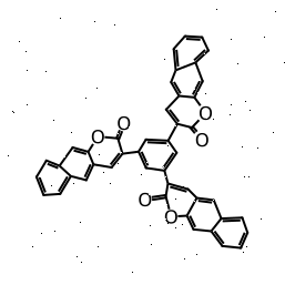 O=c1oc2cc3ccccc3cc2cc1-c1cc(-c2cc3cc4ccccc4cc3oc2=O)cc(-c2cc3cc4ccccc4cc3oc2=O)c1